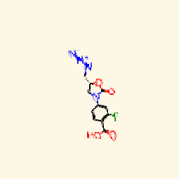 [N-]=[N+]=NC[C@H]1CN(c2ccc(C(=O)O)c(F)c2)C(=O)O1